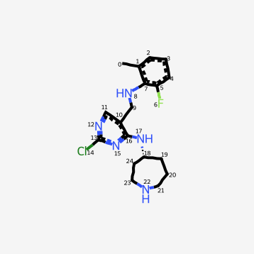 Cc1cccc(F)c1NCc1cnc(Cl)nc1N[C@@H]1CCCNCC1